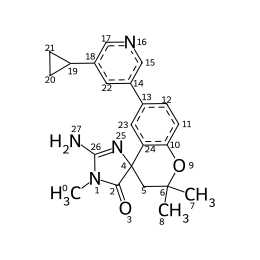 CN1C(=O)C2(CC(C)(C)Oc3ccc(-c4cncc(C5CC5)c4)cc32)N=C1N